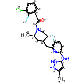 CC1=CC(Nc2ccc(F)c(CC3CCN(CC(=O)c4cccc(Cl)c4F)[C@H](C)C3)n2)NN1